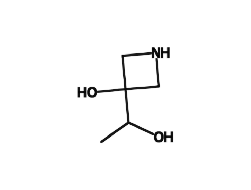 CC(O)C1(O)CNC1